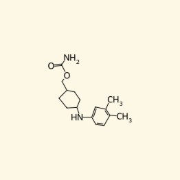 Cc1ccc(NC2CCC(COC(N)=O)CC2)cc1C